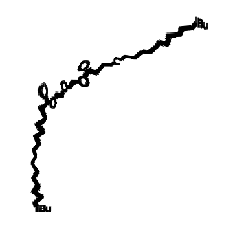 CCC(C)CCCCCCCCCCCCCCCC(=O)OCCOCCOC(=O)CCCCCCCCCCCCCCCC(C)CC